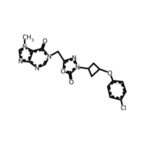 Cn1cnc2ncn(Cc3nn(C4CC(Oc5ccc(Cl)cc5)C4)c(=O)o3)c(=O)c21